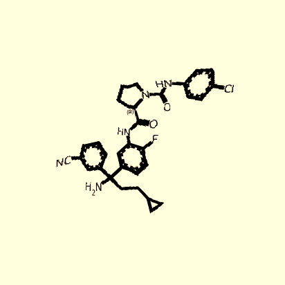 N#Cc1cccc(C(N)(CCC2CC2)c2ccc(F)c(NC(=O)[C@H]3CCCN3C(=O)Nc3ccc(Cl)cc3)c2)c1